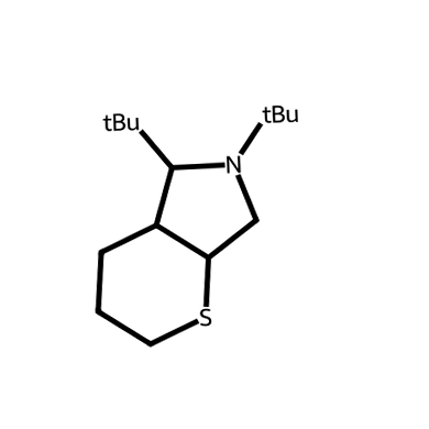 CC(C)(C)C1C2CCCSC2CN1C(C)(C)C